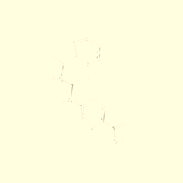 CC(NC(=O)N(S)c1ccc(C(N)=O)cc1)c1ccccc1